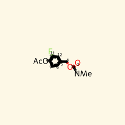 CNC(=O)OCc1ccc(OC(C)=O)c(F)c1